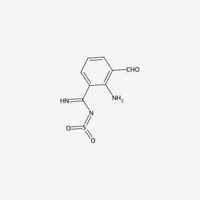 N=C(N=S(=O)=O)c1cccc(C=O)c1N